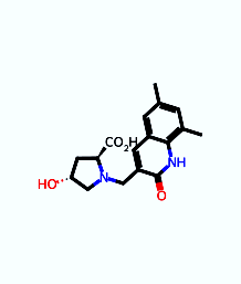 Cc1cc(C)c2[nH]c(=O)c(CN3C[C@H](O)C[C@H]3C(=O)O)cc2c1